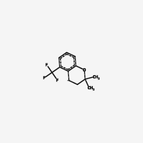 CC1(C)C[CH]c2c(cccc2C(F)(F)F)O1